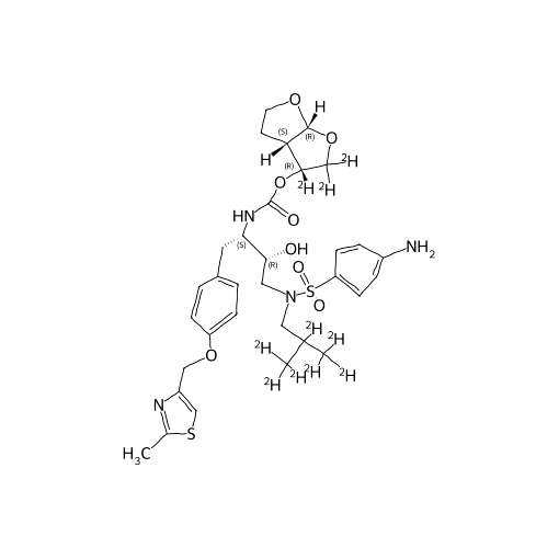 [2H]C([2H])([2H])C([2H])(CN(C[C@@H](O)[C@H](Cc1ccc(OCc2csc(C)n2)cc1)NC(=O)O[C@]1([2H])[C@@H]2CCO[C@@H]2OC1([2H])[2H])S(=O)(=O)c1ccc(N)cc1)C([2H])([2H])[2H]